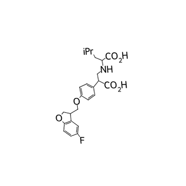 CC(C)CC(NCC(C(=O)O)c1ccc(OCC2COc3ccc(F)cc32)cc1)C(=O)O